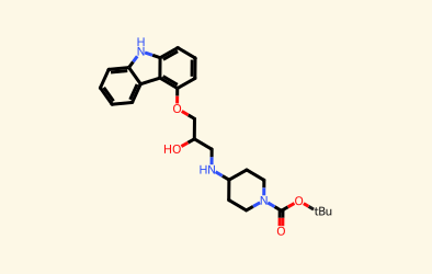 CC(C)(C)OC(=O)N1CCC(NCC(O)COc2cccc3[nH]c4ccccc4c23)CC1